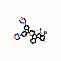 CCc1cc(F)cc2c1C(C)(C)c1c3c(c4ccccc4c1-2)OC(c1ccc(N2CCOCC2)cc1)(c1ccc(N2CCOCC2)cc1)C=C3